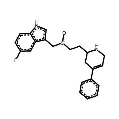 [O-][S+](CCC1CC(c2ccccc2)=CCN1)Cc1c[nH]c2ccc(F)cc12